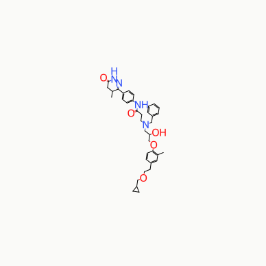 Cc1cc(CCOCC2CC2)ccc1OCC(O)CN(CCC(=O)Nc1ccc(C2=NNC(=O)CC2C)cc1)Cc1ccccc1